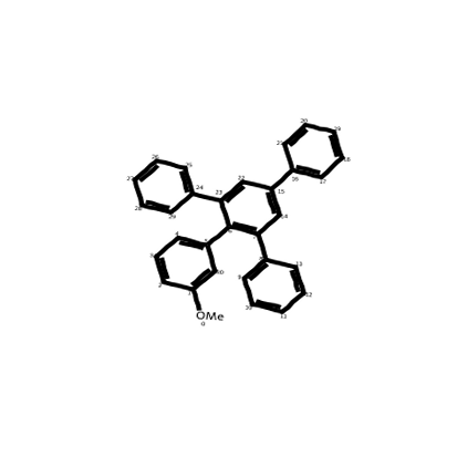 COc1cccc(-c2c(-c3ccccc3)cc(-c3ccccc3)cc2-c2ccccc2)c1